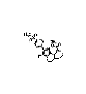 CC(C)(C)OC(=O)N1CCCC2CCn3c(nc(-c4ccc(S(C)(=O)=O)cc4)c3I)C21